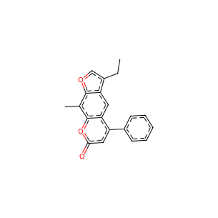 CCc1coc2c(C)c3oc(=O)cc(-c4ccccc4)c3cc12